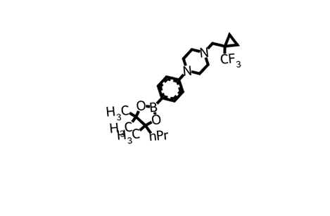 CCCC1(C)OB(c2ccc(N3CCN(CC4(C(F)(F)F)CC4)CC3)cc2)OC1(C)C